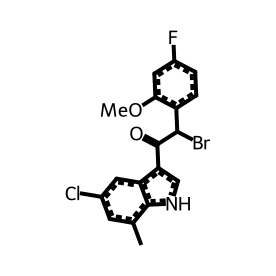 COc1cc(F)ccc1C(Br)C(=O)c1c[nH]c2c(C)cc(Cl)cc12